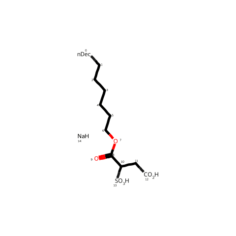 CCCCCCCCCCCCCCCCOC(=O)C(CC(=O)O)S(=O)(=O)O.[NaH]